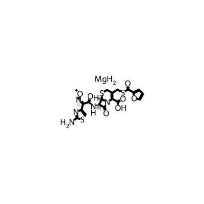 CO/N=C(\C(=O)N[C@@H]1C(=O)N2C(C(=O)O)=C(CSC(=O)c3ccco3)CS[C@H]12)c1csc(N)n1.[MgH2]